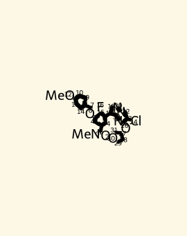 CNC(=O)c1cc(OCc2ccc(OC)cc2)c(F)c(-c2cnn3cc(Cl)c(OC4CCOC4)nc23)c1